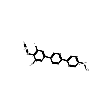 Fc1cc(-c2ccc(-c3ccc(OC(F)(F)F)cc3)cc2)cc(F)c1N=C=S